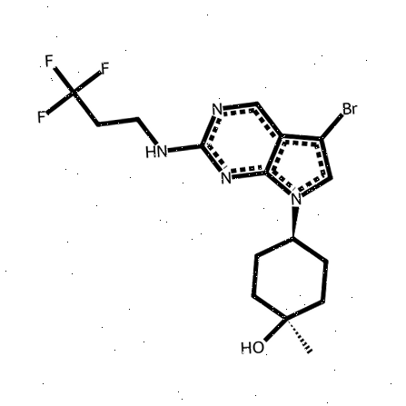 C[C@]1(O)CC[C@@H](n2cc(Br)c3cnc(NCCC(F)(F)F)nc32)CC1